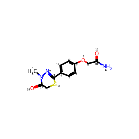 CN1N=C(c2ccc(OCC(N)=O)cc2)SCC1=O